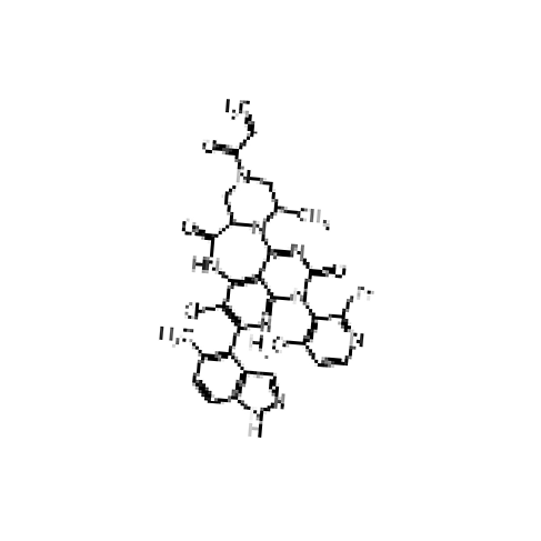 C=CC(=O)N1CC(C)N2c3nc(=O)n(-c4c(C)ccnc4C(C)C)c4nc(-c5c(C)ccc6[nH]ncc56)c(Cl)c(c34)NC(=O)C2C1